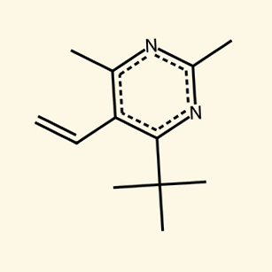 C=Cc1c(C)nc(C)nc1C(C)(C)C